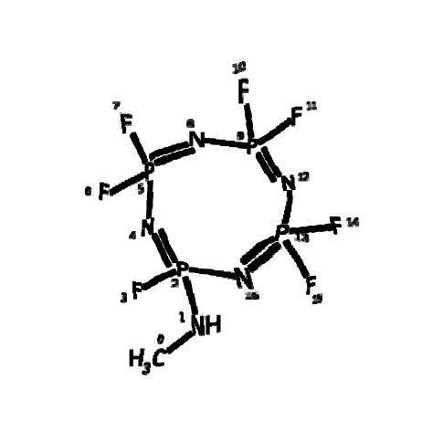 CNP1(F)=NP(F)(F)=NP(F)(F)=NP(F)(F)=N1